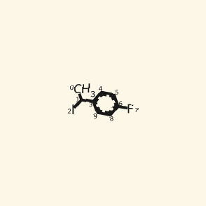 CC(I)c1ccc(F)cc1